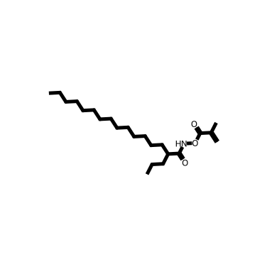 C=C(C)C(=O)ONC(=O)C(CCC)CCCCCCCCCCCCCC